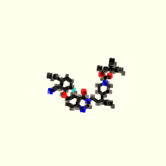 Cc1ccc(F)c(Oc2ccc3ncn(CCC(C)C4CCN(C(=O)OC(C)(C)C)CC4)c(=O)c3c2)c1C#N